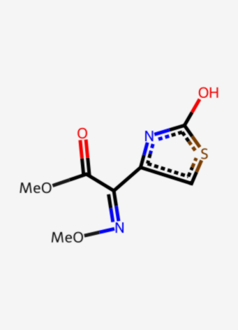 CON=C(C(=O)OC)c1csc(O)n1